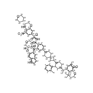 Cc1ccccc1[C@@H]1CN(C(C)c2cn(C)c(=O)c3c2C(C)(C)CCO3)CCN1C1CC2(CCN(c3ccc(C(=O)NS(=O)(=O)c4cc5c(c([N+](=O)[O-])c4)N[C@H](C4CCOCC4)CO5)c(N4c5cc6cc[nH]c6nc5O[C@H]5COCC[C@@H]54)c3)CC2)C1